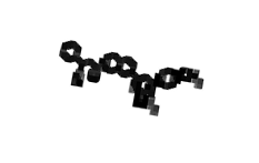 CN1CCN(c2cc(-c3ccc4c(c3)CN(C(=O)CC(C#N)c3ccccc3)CC4)nc(N)n2)CC1